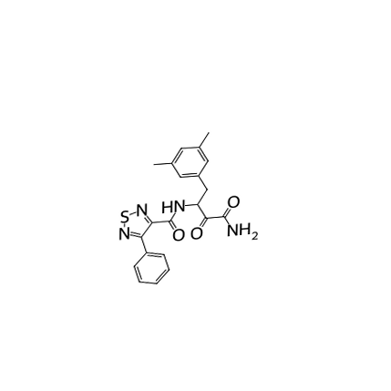 Cc1cc(C)cc(CC(NC(=O)c2nsnc2-c2ccccc2)C(=O)C(N)=O)c1